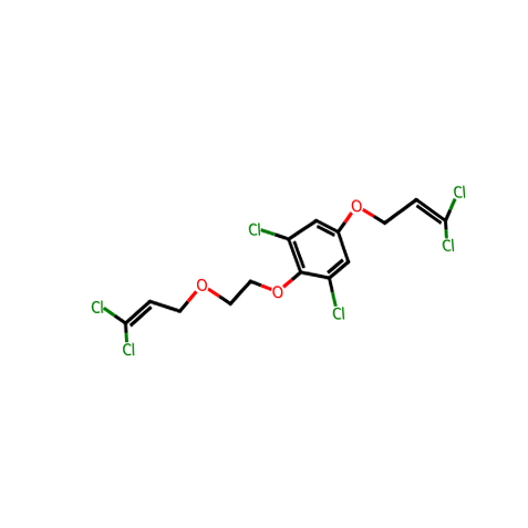 ClC(Cl)=CCOCCOc1c(Cl)cc(OCC=C(Cl)Cl)cc1Cl